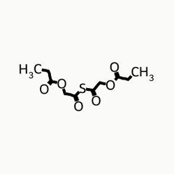 CCC(=O)OCC(=O)SC(=O)COC(=O)CC